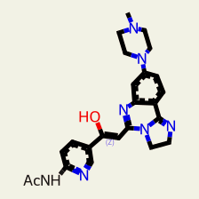 CC(=O)Nc1ccc(/C(O)=C/C2=Nc3cc(N4CCN(C)CC4)ccc3C3=NCCN23)cn1